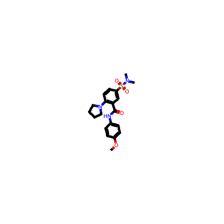 COc1ccc(NC(=O)c2cc(S(=O)(=O)N(C)C)ccc2N2CCCC2)cc1